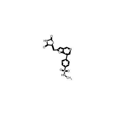 CNS(=O)(=O)c1ccc(-c2cncc3cc(/C=C4\SC(=O)NC4=O)oc23)cc1